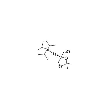 CC(C)[Si](C#C[C@]1(C=O)COC(C)(C)O1)(C(C)C)C(C)C